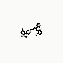 COC1C=CC=C2Oc3ncccc3C(=CCCN3CCC4(CC3)OC(=O)Nc3ccc(C)cc34)C=C21